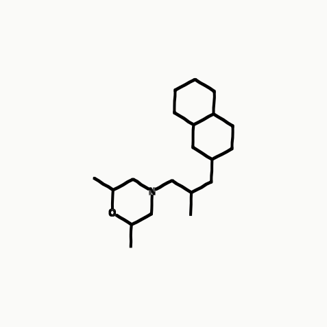 CC(CC1CCC2CCCCC2C1)CN1CC(C)OC(C)C1